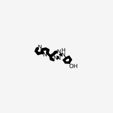 O[C@H]1CC[C@@H](Nc2ncc3c(-c4ccc5ncccc5n4)ccn3n2)CC1